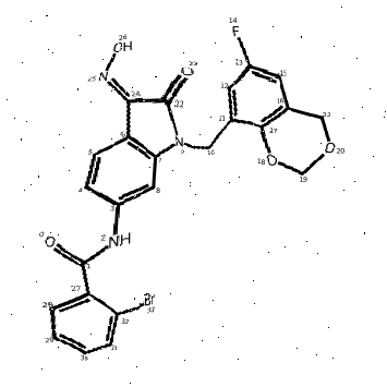 O=C(Nc1ccc2c(c1)N(Cc1cc(F)cc3c1OCOC3)C(=O)/C2=N\O)c1ccccc1Br